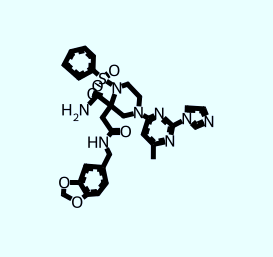 Cc1cc(N2CCN(S(=O)(=O)c3ccccc3)C(CC(=O)NCc3ccc4c(c3)OCO4)(C(N)=O)C2)nc(-n2ccnc2)n1